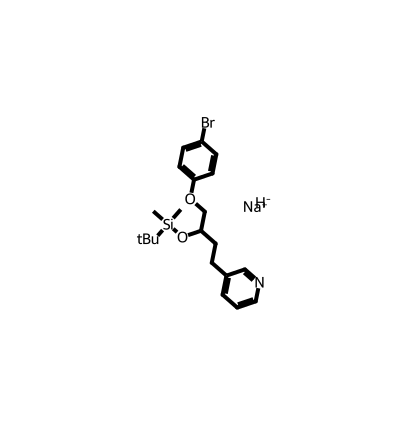 CC(C)(C)[Si](C)(C)OC(CCc1cccnc1)COc1ccc(Br)cc1.[H-].[Na+]